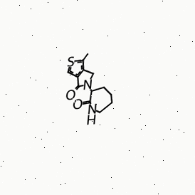 Cc1scc2c1CN([C@H]1CCCCNC1=O)C2=O